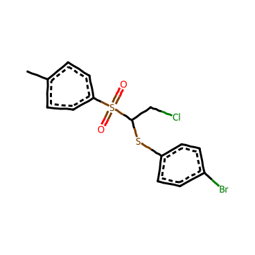 Cc1ccc(S(=O)(=O)C(CCl)Sc2ccc(Br)cc2)cc1